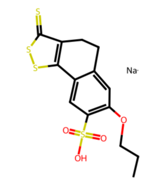 CCCOc1cc2c(cc1S(=O)(=O)O)-c1ssc(=S)c1CC2.[Na]